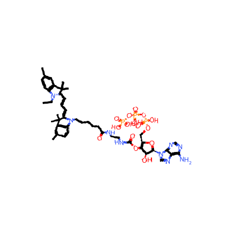 CC[N+]1=C(/C=C/C=C2/N(CCCCCC(=O)NCCNC(=O)OC3[C@@H](COP(=O)(O)OP(=O)(O)OP(=O)(O)O)O[C@@H](n4cnc5c(N)ncnc54)[C@H]3O)c3ccc(C)cc3C2(C)C)C(C)(C)c2cc(C)ccc21